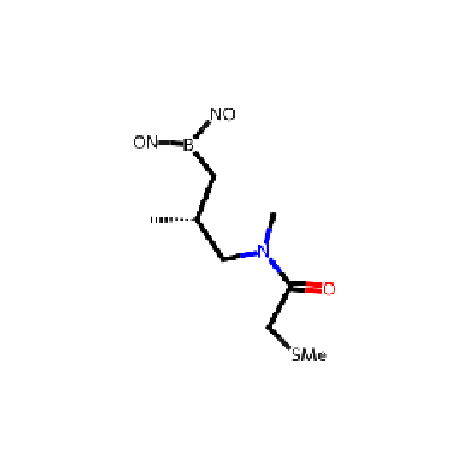 CSCC(=O)N(C)C[C@H](C)CB(N=O)N=O